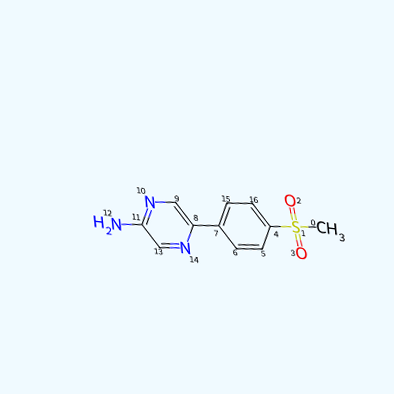 CS(=O)(=O)c1ccc(-c2cnc(N)cn2)cc1